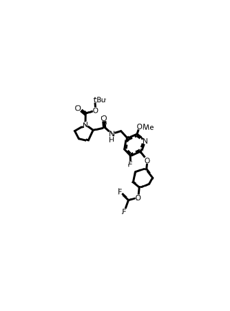 COc1nc(OC2CCC(OC(F)F)CC2)c(F)cc1CNC(=O)C1CCCN1C(=O)OC(C)(C)C